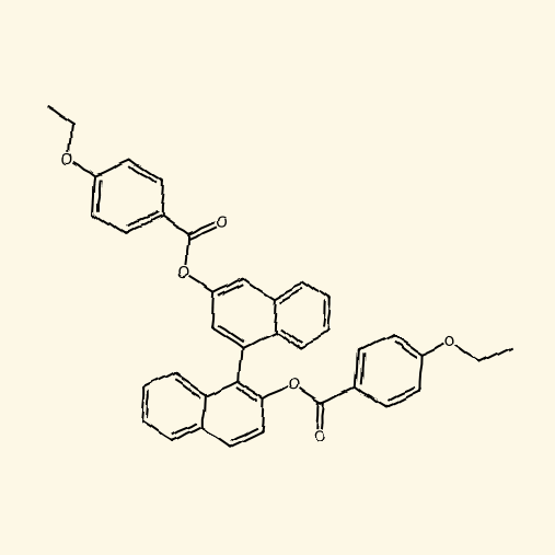 CCOc1ccc(C(=O)Oc2cc(-c3c(OC(=O)c4ccc(OCC)cc4)ccc4ccccc34)c3ccccc3c2)cc1